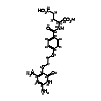 Nc1nc(N)c(SCCSc2ccc(C(=O)N[C@@H](CCC(=O)O)C(=O)O)cc2)c(=O)[nH]1